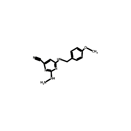 COc1ccc(CNc2cc(C#N)nc(NN)n2)cc1